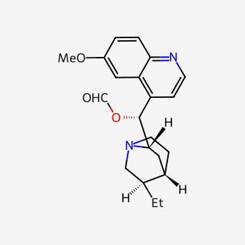 CC[C@H]1CN2CC[C@H]1C[C@H]2[C@H](OC=O)c1ccnc2ccc(OC)cc12